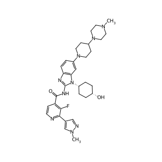 CN1CCN(C2CCN(c3ccc4nc(NC(=O)c5ccnc(-c6cnn(C)c6)c5F)n([C@H]5CC[C@@H](O)CC5)c4c3)CC2)CC1